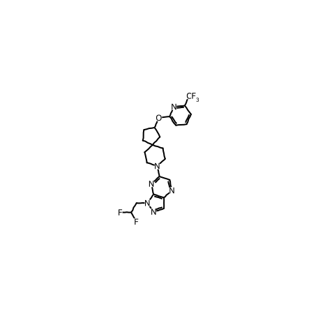 FC(F)Cn1ncc2ncc(N3CCC4(CCC(Oc5cccc(C(F)(F)F)n5)C4)CC3)nc21